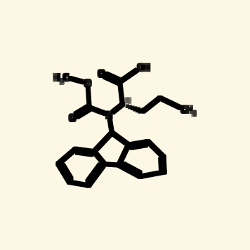 CCC[C@@H](C(=O)O)N(C(=O)OC)C1c2ccccc2-c2ccccc21